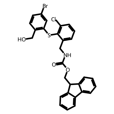 O=C(NCc1cccc(Cl)c1Sc1cc(Br)ccc1CO)OCC1c2ccccc2-c2ccccc21